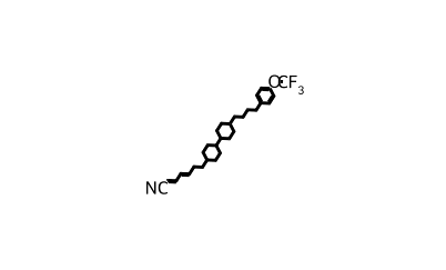 N#CC=CC=CCCC1CCC(C2CCC(CCCCc3ccc(OC(F)(F)F)cc3)CC2)CC1